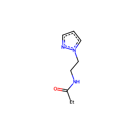 CCC(=O)NCCn1cccn1